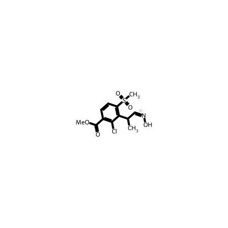 COC(=O)c1ccc(S(C)(=O)=O)c(C(C)/C=N\O)c1Cl